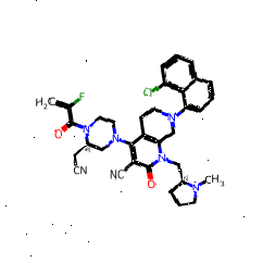 C=C(F)C(=O)N1CCN(c2c3c(n(C[C@@H]4CCCN4C)c(=O)c2C#N)CN(c2cccc4cccc(Cl)c24)CC3)C[C@H]1CC#N